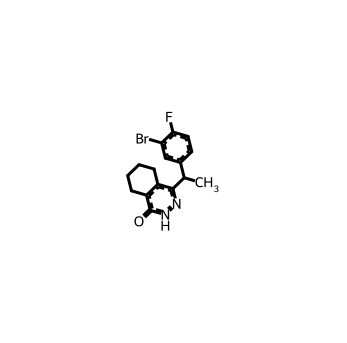 CC(c1ccc(F)c(Br)c1)c1n[nH]c(=O)c2c1CCCC2